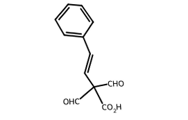 O=CC(C=O)(C=Cc1ccccc1)C(=O)O